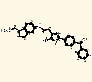 CCc1oc(-c2ccc(C(=O)c3ccccc3)cc2)nc1CCOc1ccc2c(c1)CC[C@H]2CC(=O)O